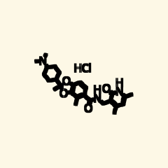 Cc1cc(C)c(CNC(=O)c2ccc3c(c2C)OC(C)(C2CCC(N(C)C)CC2)O3)c(=O)[nH]1.Cl